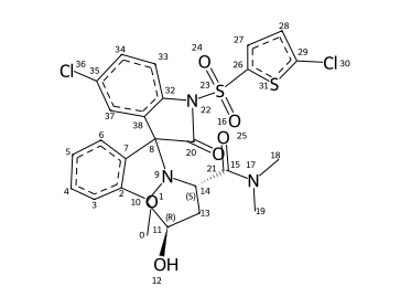 COc1ccccc1C1(N2C[C@H](O)C[C@H]2C(=O)N(C)C)C(=O)N(S(=O)(=O)c2ccc(Cl)s2)c2ccc(Cl)cc21